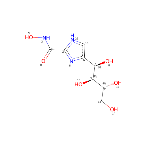 O=C(NO)c1nc([C@@H](O)[C@H](O)[C@H](O)CO)c[nH]1